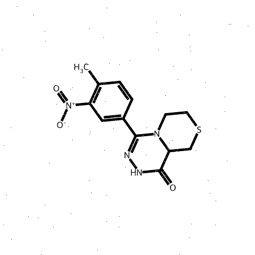 Cc1ccc(C2=NNC(=O)C3CSCCN23)cc1[N+](=O)[O-]